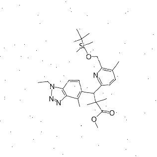 CCn1nnc2c(C)c(C(c3ccc(C)c(CO[Si](C)(C)C(C)(C)C)n3)C(C)(C)C(=O)OC)ccc21